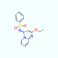 CCOc1cc(=NS(=O)(=O)c2ccccc2)n2ccccc2n1